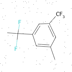 Cc1cc(C(C)(F)F)cc(C(F)(F)F)c1